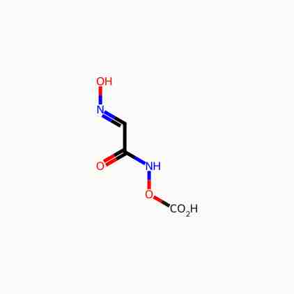 O=C(C=NO)NOC(=O)O